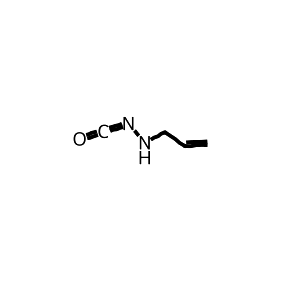 C=CCNN=C=O